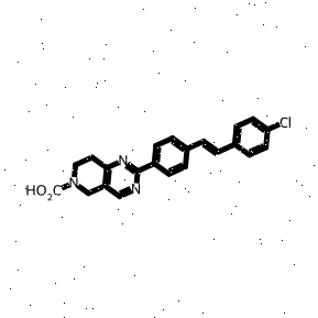 O=C(O)N1CCc2nc(-c3ccc(/C=C/c4ccc(Cl)cc4)cc3)ncc2C1